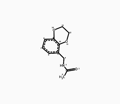 CC(=O)NCc1cccc2c1OCCO2